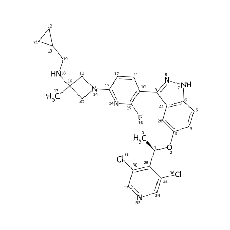 C[C@@H](Oc1ccc2[nH]nc(-c3ccc(N4CC(C)(NCC5CC5)C4)nc3F)c2c1)c1c(Cl)cncc1Cl